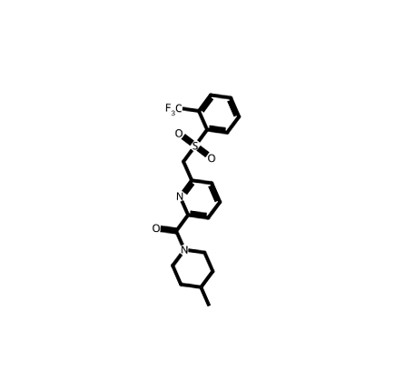 CC1CCN(C(=O)c2cccc(CS(=O)(=O)c3ccccc3C(F)(F)F)n2)CC1